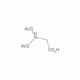 CC(=O)O[SiH](CC(=O)O)OC(C)=O